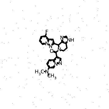 CN(C)c1ccc2c(C(=O)N3CCc4[nH]cnc4C3c3cc4c(F)cccn4n3)cnn2c1